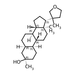 CC1([C@H]2CC[C@H]3[C@@H]4CC[C@@H]5C[C@](C)(O)CC[C@@H]5[C@H]4CC[C@]23C)CCOC1